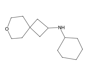 C1CCC(NC2CC3(CCOCC3)C2)CC1